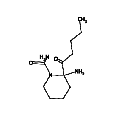 CCCCC(=O)C1(N)CCCCN1C(N)=O